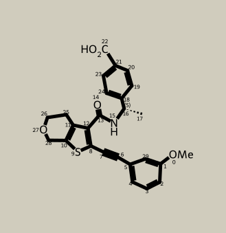 COc1cccc(C#Cc2sc3c(c2C(=O)N[C@@H](C)c2ccc(C(=O)O)cc2)CCOC3)c1